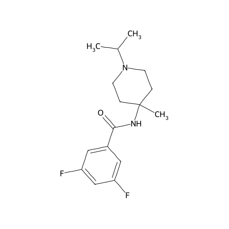 CC(C)N1CCC(C)(NC(=O)c2cc(F)cc(F)c2)CC1